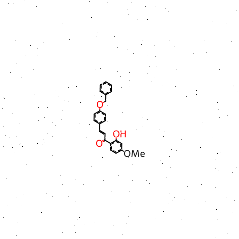 COc1ccc(C(=O)C=Cc2ccc(OCc3ccccc3)cc2)c(O)c1